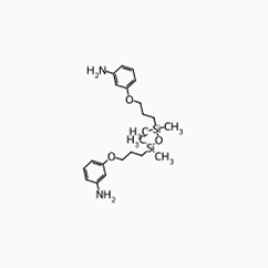 C[Si](C)(CCCOc1cccc(N)c1)O[Si](C)(C)CCCOc1cccc(N)c1